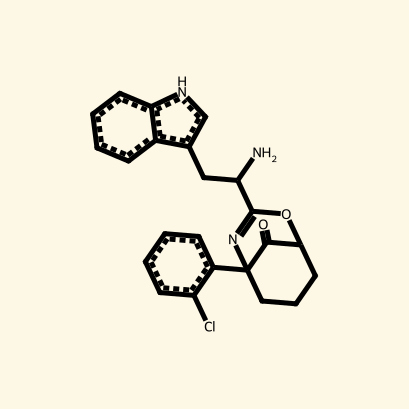 NC(Cc1c[nH]c2ccccc12)C1=NC2(c3ccccc3Cl)CCCC(O1)C2=O